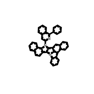 c1ccc(-c2nc(-n3c4c5ccccc5ccc4c4c3c3cc5ccccc5c5c6ccccc6n4c35)cc3ccccc23)cc1